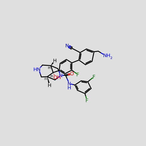 N#Cc1cc(CN)ccc1-c1ccc([C@]2(O)[C@@H]3CNC[C@H]2CN(C(=O)Nc2cc(F)cc(F)c2)C3)cc1F